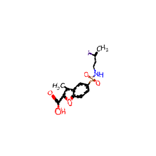 C=C(I)CCNS(=O)(=O)c1ccc2oc(C(=O)O)c(C)c2c1